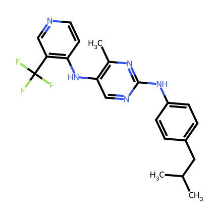 Cc1nc(Nc2ccc(CC(C)C)cc2)ncc1Nc1ccncc1C(F)(F)F